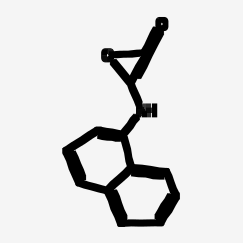 O=C1OC1Nc1cccc2ccccc12